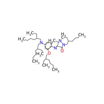 CCCCC(CC)COc1cc(N(CC(CC)CCCC)CC(CC)CCCC)ccc1N=C1C(=O)N(CC(CC)CCCC)N=C1C